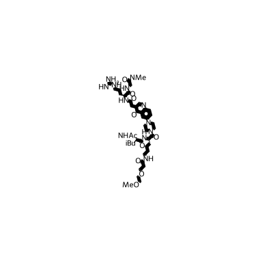 CC[C@H](C)[C@H](NC(C)=O)C(=O)N[C@@H](CCCCNC(=O)CCOCCOC)C(=O)N1CCN(c2ccc3c(c2)C(=O)C(CC(=O)N[C@@H](CCCNC(=N)N)C(=O)NCC(=O)NC)C=N3)CC1